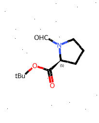 CC(C)(C)OC(=O)[C@@H]1CCCN1C=O